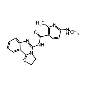 CNc1ccc(C(=O)NC2=Nc3ccccc3C3=NCCN23)c(C)n1